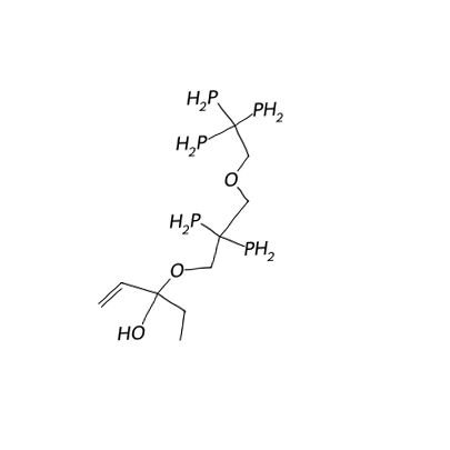 C=CC(O)(CC)OCC(P)(P)COCC(P)(P)P